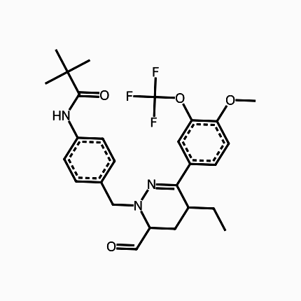 CCC1CC(C=O)N(Cc2ccc(NC(=O)C(C)(C)C)cc2)N=C1c1ccc(OC)c(OC(F)(F)F)c1